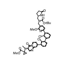 COC(=O)C1(N(C)c2cnc3cc(-c4cccc(-c5cccc(-c6ccc(CN(CC7CCC(=O)N7)C(=O)OC(C)(C)C)c(OC)n6)c5Cl)c4Cl)ccn3c2=O)CC1